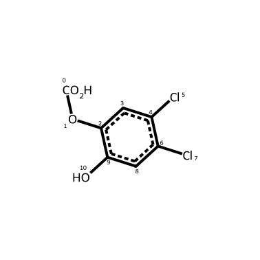 O=C(O)Oc1cc(Cl)c(Cl)cc1O